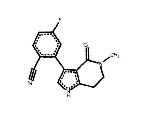 CN1CCc2[nH]cc(-c3cc(F)ccc3C#N)c2C1=O